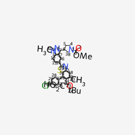 COC(=O)N1CCC(c2nn(C)c3ccc(-c4nc5cc(C)c([C@H](OC(C)(C)C)C(=O)O)c(-c6ccc(Cl)cc6)c5s4)cc23)C1